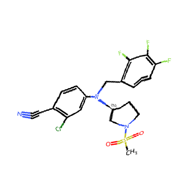 CS(=O)(=O)N1CC[C@H](N(Cc2ccc(F)c(F)c2F)c2ccc(C#N)c(Cl)c2)C1